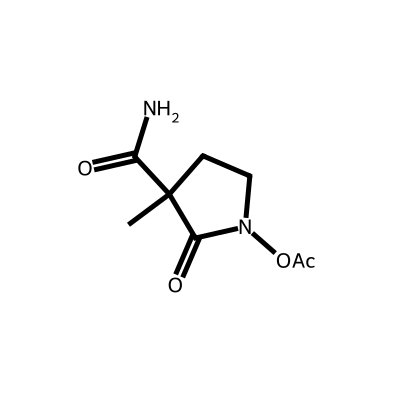 CC(=O)ON1CCC(C)(C(N)=O)C1=O